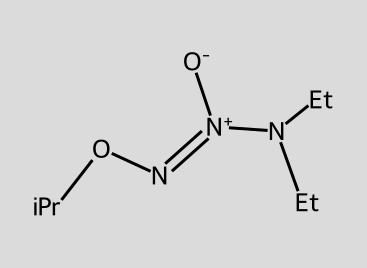 CCN(CC)/[N+]([O-])=N/OC(C)C